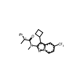 CC(C)[C@H](C)C(=O)N(C)c1nn2ccc(C(F)(F)F)cc2c1C1CCC1